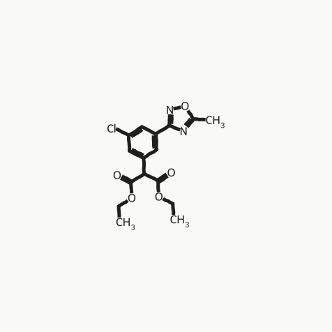 CCOC(=O)C(C(=O)OCC)c1cc(Cl)cc(-c2noc(C)n2)c1